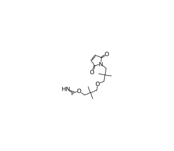 CC(C)(COCC(C)(C)CN1C(=O)C=CC1=O)COP=N